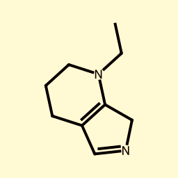 CCN1CCCC2=C1CN=C2